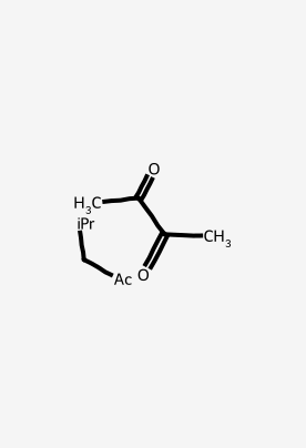 CC(=O)C(C)=O.CC(=O)CC(C)C